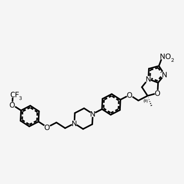 C[C@]1(COc2ccc(N3CCN(CCOc4ccc(OC(F)(F)F)cc4)CC3)cc2)Cn2cc([N+](=O)[O-])nc2O1